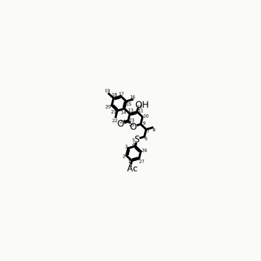 CC(=O)c1ccc(SCC(C)C2CC(O)=C(c3c(C)cc(C)cc3C)C(=O)O2)cc1